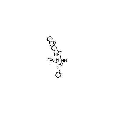 N=C(CNC(=O)c1ccc2c(c1)Oc1ccccc1S2)N1C[C@@](F)(CF)C[C@H]1C(=O)OCc1ccccc1